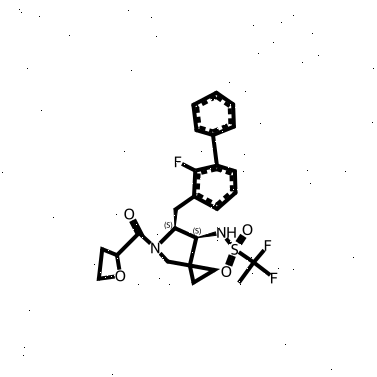 CC(F)(F)S(=O)(=O)N[C@@H]1[C@H](Cc2cccc(-c3ccccc3)c2F)N(C(=O)C2CCO2)CC12CC2